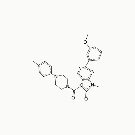 COc1cccc(-c2ncc3c(n2)n(C)c(=O)n3C(=O)N2CCN(c3ccc(C)cc3)CC2)c1